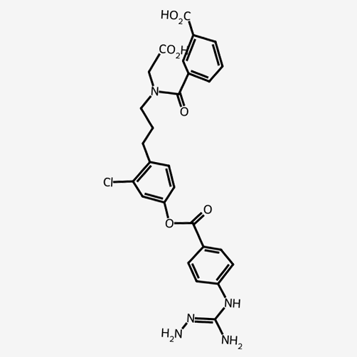 NN=C(N)Nc1ccc(C(=O)Oc2ccc(CCCN(CC(=O)O)C(=O)c3cccc(C(=O)O)c3)c(Cl)c2)cc1